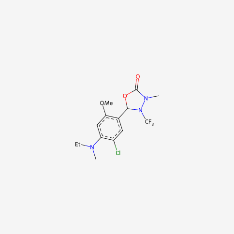 CCN(C)c1cc(OC)c(C2OC(=O)N(C)N2C(F)(F)F)cc1Cl